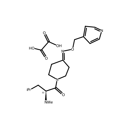 CN[C@@H](CC(C)C)C(=O)N1CCC(=NOCc2ccncc2)CC1.O=C(O)C(=O)O